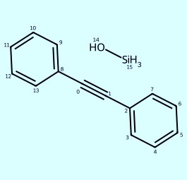 C(#Cc1ccccc1)c1ccccc1.O[SiH3]